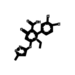 CCn1c(Oc2cc(C)on2)cc(=O)c(C(=O)O)c1-c1ccc(Cl)c(Cl)c1